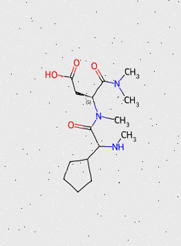 CNC(C(=O)N(C)[C@@H](CC(=O)O)C(=O)N(C)C)C1CCCC1